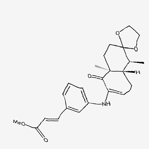 COC(=O)/C=C/c1cccc(NC2=CC[C@H]3[C@H](C)C4(CC[C@]3(C)C2=O)OCCO4)c1